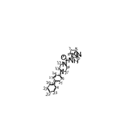 O=C(NC1CN2CCC1CC2)N1CCN(c2ccc(-c3ccccc3)cc2)CC1